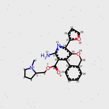 CN1CCCC1COC(=O)c1c(N)nc(-c2ccco2)c2c1-c1ccccc1CO2